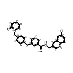 O=C(NCc1cnc2ccc(Cl)cc2c1)c1cncc(Cc2ccc(Cn3ccccc3=O)cc2)c1